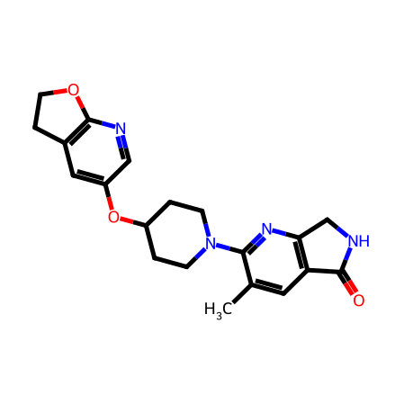 Cc1cc2c(nc1N1CCC(Oc3cnc4c(c3)CCO4)CC1)CNC2=O